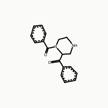 O=C(c1ccccc1)C1CNCCN1C(=O)c1ccccc1